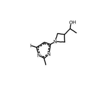 Cc1nc(I)cc(N2CC(C(C)O)C2)n1